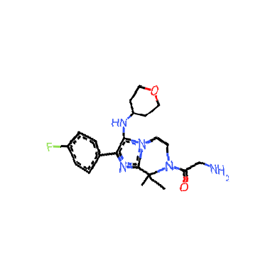 CC1(C)c2nc(-c3ccc(F)cc3)c(NC3CCOCC3)n2CCN1C(=O)CN